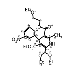 CCOCCOC(=O)C1=C(C)NC(C(OCC)OCC)=C(C(=O)OCC)C1c1cccc([N+](=O)[O-])c1